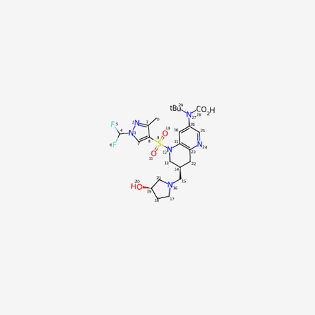 Cc1nn(C(F)F)cc1S(=O)(=O)N1C[C@H](CN2CC[C@@H](O)C2)Cc2ncc(N(C(=O)O)C(C)(C)C)cc21